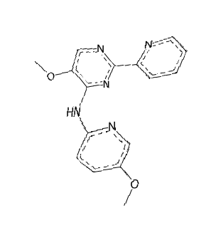 COc1ccc(Nc2nc(-c3ccccn3)ncc2OC)nc1